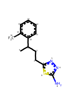 CC(CCc1nnc(N)s1)c1ccccc1C(F)(F)F